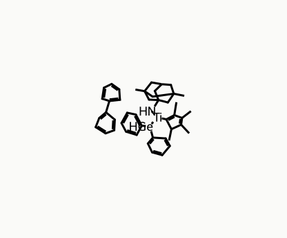 CC1=C(C)C(C)[C]([Ti]([NH]C23CC4CC(C)(CC(C)(C4)C2)C3)[GeH]([c]2ccccc2)[c]2ccccc2)=C1C.c1ccc(-c2ccccc2)cc1